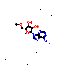 [2H]OC[C@H]1O[C@@H](n2cnc3c(N)ncnc32)C(O)C1O